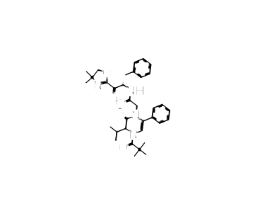 CC(C)C1C(=O)N(CC(=O)N[C@@H](Cc2ccccc2)C(=O)C2=NC(C)(C)CO2)C(c2ccccc2)=CN1C(=O)C(C)(C)C